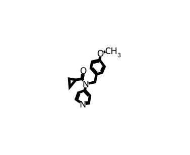 COc1ccc(CN(C(=O)C2CC2)c2ccncc2)cc1